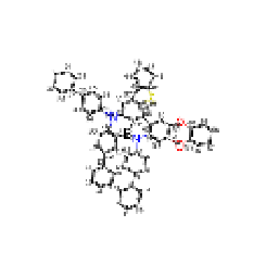 c1ccc(-c2ccc(N3B4c5cc(-c6ccccc6)ccc5N(c5ccc(-c6ccccc6)cc5)c5cc6c(sc7ccccc76)c(c54)-c4cc5c(cc43)Oc3ccccc3O5)cc2)cc1